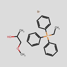 CC[P+](c1ccccc1)(c1ccccc1)c1ccccc1.COCC(C)O.[Br-]